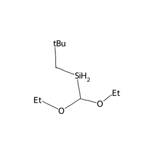 CCOC(OCC)[SiH2]CC(C)(C)C